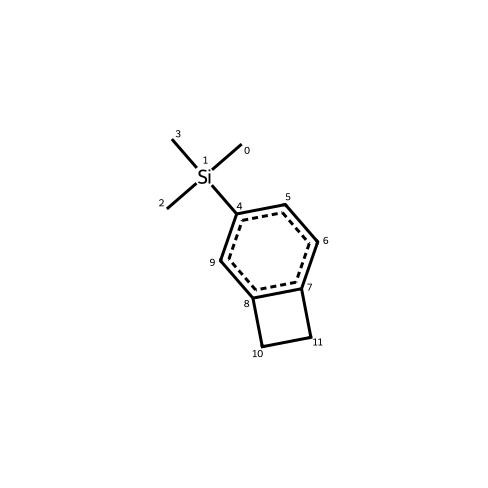 C[Si](C)(C)c1ccc2c(c1)CC2